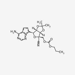 CCCOC(=O)OC[C@@]1(C#N)O[C@@H](c2ccc3c(N)ncnn23)[C@@H]2OC(C)(C)O[C@@H]21